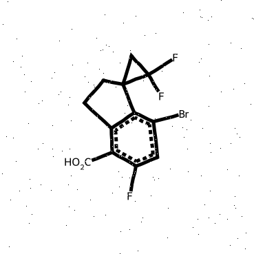 O=C(O)c1c(F)cc(Br)c2c1CCC21CC1(F)F